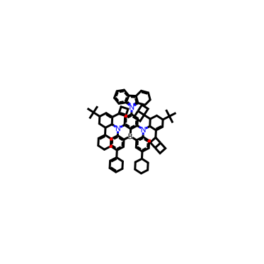 CC(C)(C)C1C=C(C2=CCC2)C(N2c3ccc(C4=CC=CCC4)cc3B3c4cc(C5CCCCC5)ccc4N(C4C(C5CC6CCC65)=CC(C(C)(C)C)CC4C45CCC4CC5)c4cc(-n5c6c(c7ccccc75)C=CCC6)cc2c43)C(C2=CCCCC2)C1